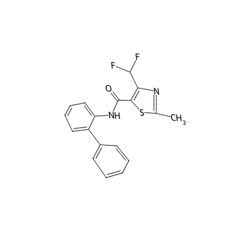 Cc1nc(C(F)F)c(C(=O)Nc2ccccc2-c2ccccc2)s1